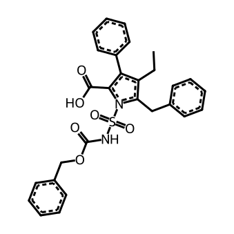 CCc1c(-c2ccccc2)c(C(=O)O)n(S(=O)(=O)NC(=O)OCc2ccccc2)c1Cc1ccccc1